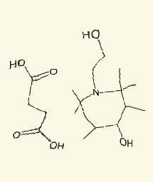 CC1C(O)C(C)C(C)(C)N(CCO)C1(C)C.O=C(O)CCC(=O)O